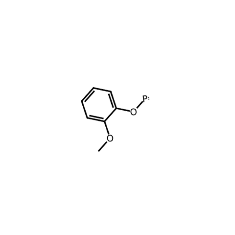 COc1ccccc1O[P]